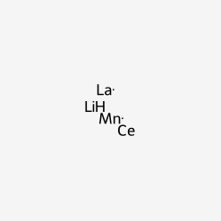 [Ce].[La].[LiH].[Mn]